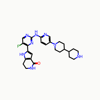 O=C1NCCc2[nH]c(-c3nc(Nc4ccc(N5CCC(C6CCNCC6)CC5)cn4)ncc3F)cc21